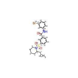 CCC1CCCCN1S(=O)(=O)c1cccc(C(=O)Nc2cccc(Br)c2)c1